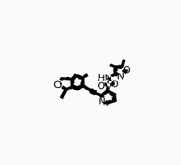 Cc1cc2c(cc1C#Cc1ncccc1S(=O)(=O)Nc1noc(C)c1C)C(C)OC2